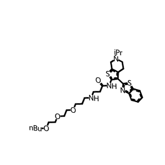 CCCCOCCOCCOCCCNCCC(=O)Nc1sc2c(c1-c1nc3ccccc3s1)CCN(C(C)C)C2